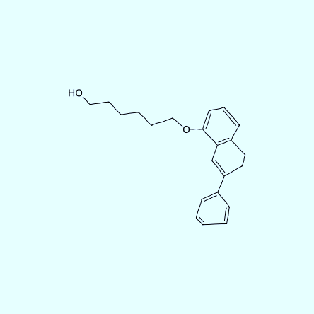 OCCCCCCOc1cccc2c1C=C(c1ccccc1)CC2